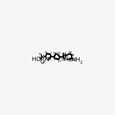 CN(C(=O)O)c1ccc(-c2ccc(-c3cn4cc(N)ccc4n3)cc2)cn1